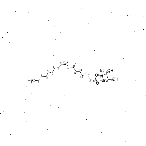 CCCCCCCC/C=C\CCCCCCCC(=O)OC(Br)(Br)C(O)CO